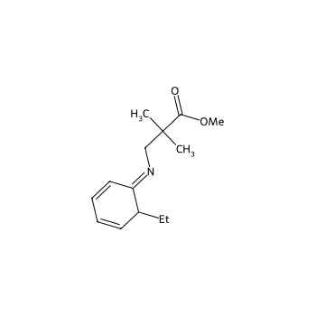 CCC1C=CC=CC1=NCC(C)(C)C(=O)OC